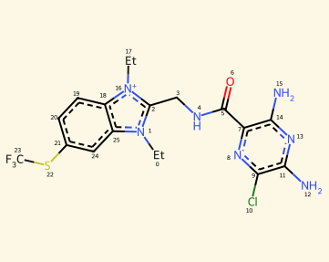 CCn1c(CNC(=O)c2nc(Cl)c(N)nc2N)[n+](CC)c2ccc(SC(F)(F)F)cc21